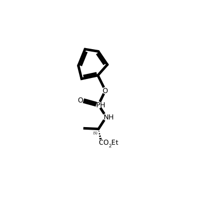 CCOC(=O)[C@H](C)N[PH](=O)Oc1ccccc1